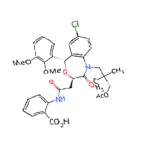 COc1cccc([C@H]2O[C@H](CC(=O)Nc3ccccc3C(=O)O)C(=O)N(CC(C)(C)COC(C)=O)c3ccc(Cl)cc32)c1OC